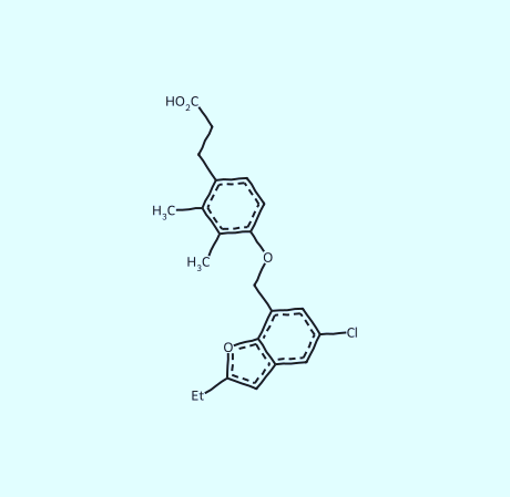 CCc1cc2cc(Cl)cc(COc3ccc(CCC(=O)O)c(C)c3C)c2o1